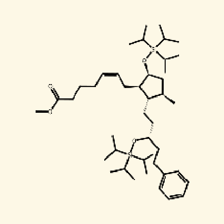 COC(=O)CCC/C=C\C[C@@H]1[C@@H](CC[C@H](CCc2ccccc2)O[Si](C(C)C)(C(C)C)C(C)C)[C@H](C)C[C@@H]1O[Si](C(C)C)(C(C)C)C(C)C